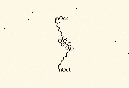 CCCCCCCC/C=C\CCCCCCCC(=O)OC(=O)C(=O)OC(=O)CCCCCCC/C=C\CCCCCCCC